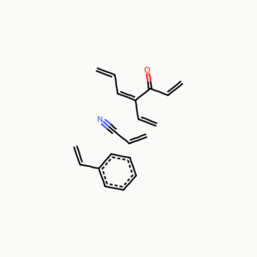 C=CC#N.C=CC=C(C=C)C(=O)C=C.C=Cc1ccccc1